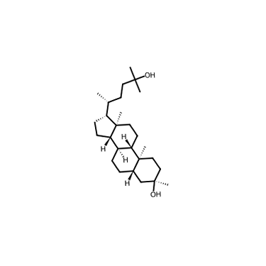 C[C@H](CCC(C)(C)O)[C@H]1CC[C@H]2[C@@H]3CC[C@H]4C[C@](C)(O)CC[C@]4(C)[C@H]3CC[C@]12C